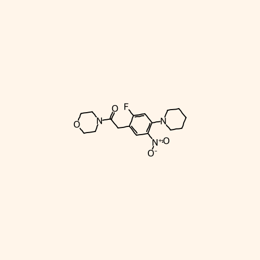 O=C(Cc1cc([N+](=O)[O-])c(N2CCCCC2)cc1F)N1CCOCC1